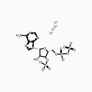 Nc1ncnc2c1ncn2[C@@H]1O[C@H](COP(=O)([O-])OS(=O)(=O)[O-])[C@@H](OP(=O)([O-])[O-])[C@H]1O.[Li+].[Li+].[Li+].[Li+]